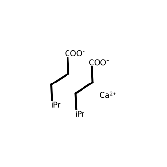 CC(C)CCC(=O)[O-].CC(C)CCC(=O)[O-].[Ca+2]